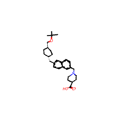 CC(C)(C)OC[C@H]1CC[C@H](Cc2ccc3cc(CN4CCC(C(=O)O)CC4)ccc3c2)CC1